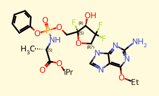 CCOc1nc(N)nc2c1ncn2[C@@H]1O[C@](F)(COP(=O)(N[C@@H](C)C(=O)OC(C)C)Oc2ccccc2)[C@@H](O)C1(F)F